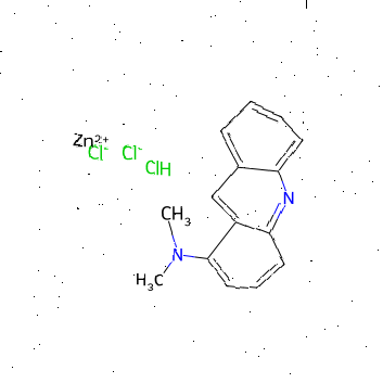 CN(C)c1cccc2nc3ccccc3cc12.Cl.[Cl-].[Cl-].[Zn+2]